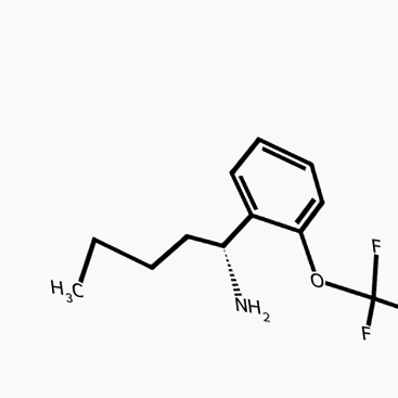 CCCC[C@@H](N)c1ccccc1OC(F)(F)F